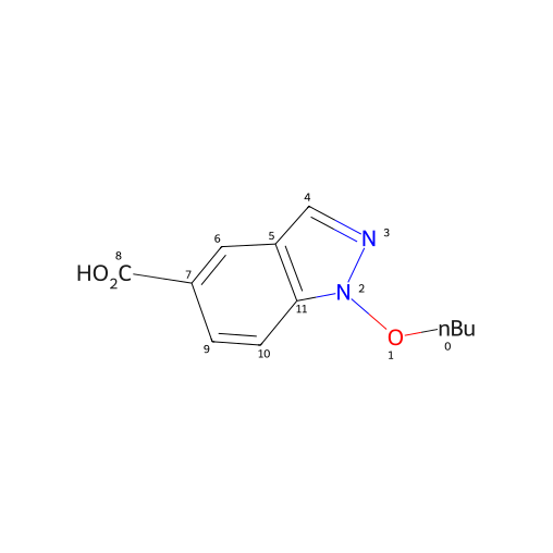 CCCCOn1ncc2cc(C(=O)O)ccc21